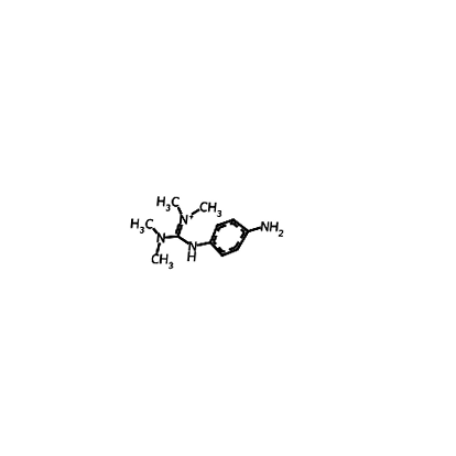 CN(C)C(Nc1ccc(N)cc1)=[N+](C)C